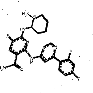 NC(=O)c1cc(F)c(NC2CCCC[C@@H]2N)nc1Nc1ccnc(-c2ccc(F)cc2F)c1